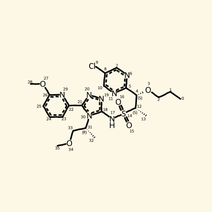 CCCO[C@@H](c1ncc(Cl)cn1)[C@H](C)S(=O)(=O)Nc1nnc(-c2cccc(OC)n2)n1[C@H](C)COC